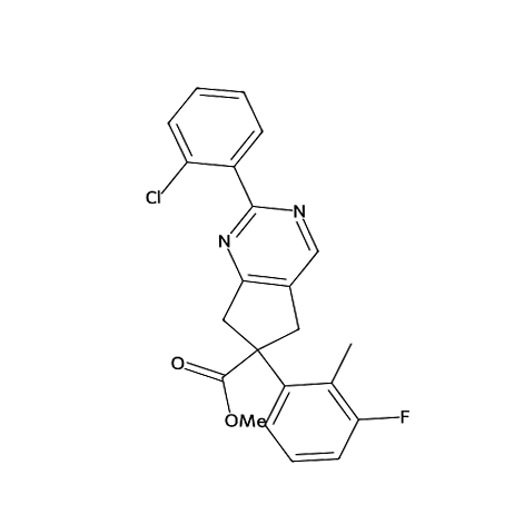 COC(=O)C1(c2cccc(F)c2C)Cc2cnc(-c3ccccc3Cl)nc2C1